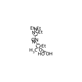 CCc1cc(-c2nc(-c3cc(C)c(OC[C@@H](O)CO)c(CC)c3)no2)cnc1N(CC)CC